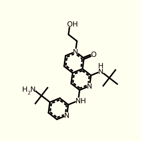 CC(C)(C)Nc1nc(Nc2cc(C(C)(C)N)ccn2)cc2ccn(CCO)c(=O)c12